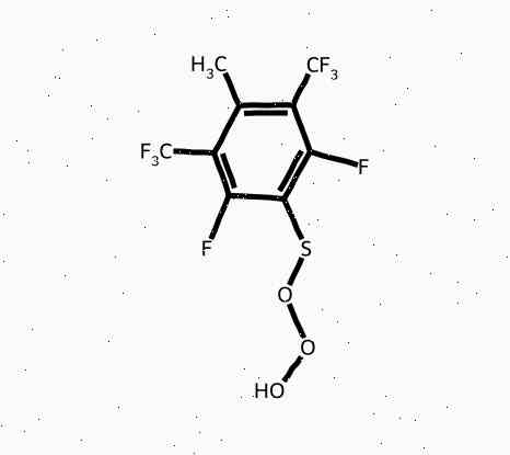 Cc1c(C(F)(F)F)c(F)c(SOOO)c(F)c1C(F)(F)F